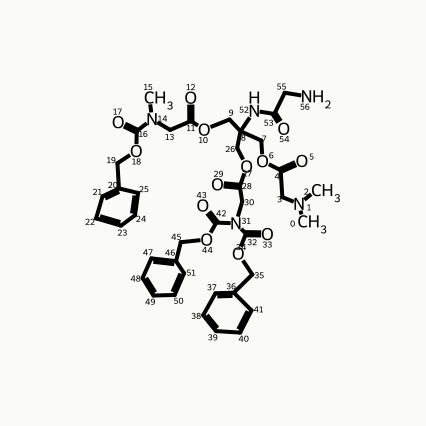 CN(C)CC(=O)OCC(COC(=O)CN(C)C(=O)OCc1ccccc1)(COC(=O)CN(C(=O)OCc1ccccc1)C(=O)OCc1ccccc1)NC(=O)CN